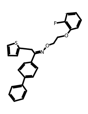 Fc1[c]cccc1OCCO/N=C(\Cc1cccs1)c1ccc(-c2ccccc2)cc1